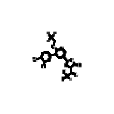 O=C1OC(c2cnc(OCC(F)(F)F)c(-c3ccc(Cl)c(Cl)c3)c2)=NC1C(=O)C(F)(F)F